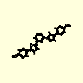 CC(C)(C)c1ccc(-c2ncc(-c3cccc(-c4cnc(-c5ccc(C(C)(C)C)cc5)o4)c3)o2)cc1